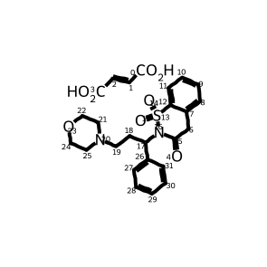 O=C(O)C=CC(=O)O.O=C1Cc2ccccc2S(=O)(=O)N1C(CCN1CCOCC1)c1ccccc1